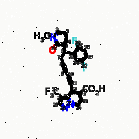 Cn1cccc(C(CC#CC#Cc2c(C(=O)O)ccn3ncc(C(F)(F)F)c23)c2cc(F)ccc2F)c1=O